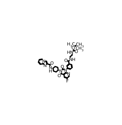 CC(C)(C)OC(=O)NCCNC(=O)c1cccc(-n2c(=O)n([C@H]3CC[C@@H](NC(=O)c4cn5ccccc5n4)CC3)c(=O)c3cc(F)cnc32)c1